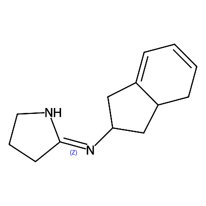 C1=CCC2CC(/N=C3/CCCN3)CC2=C1